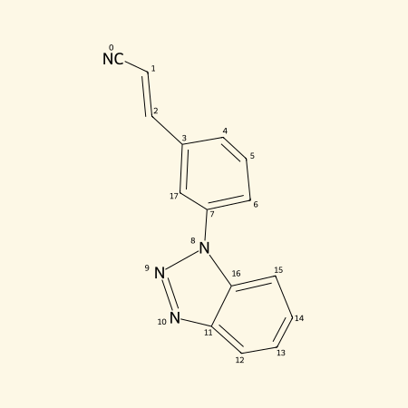 N#C/C=C/c1cccc(-n2nnc3ccccc32)c1